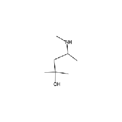 CNC(C)CC(C)(C)O